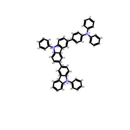 c1ccc(N(c2ccccc2)c2ccc(-c3ccc4c(c3)c3cc(-c5ccc6c(c5)c5ccccc5n6-c5ccccc5)ccc3n4-c3ccccc3)cc2)cc1